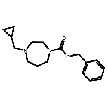 O=C(OCc1ccccc1)N1CCCN(CC2CC2)CC1